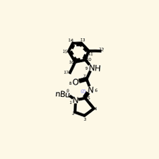 CCCCN1CCC/C1=N/C(=O)Nc1c(C)cccc1C